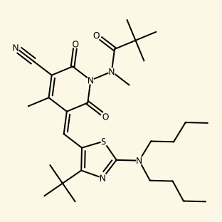 CCCCN(CCCC)c1nc(C(C)(C)C)c(/C=C2\C(=O)N(N(C)C(=O)C(C)(C)C)C(=O)C(C#N)=C2C)s1